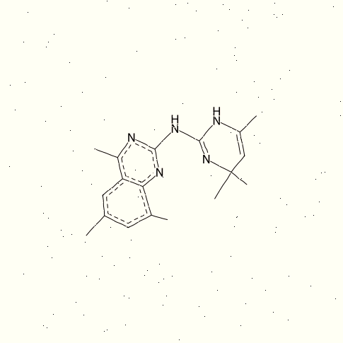 CC1=CC(C)(C)N=C(Nc2nc(C)c3cc(C)cc(C)c3n2)N1